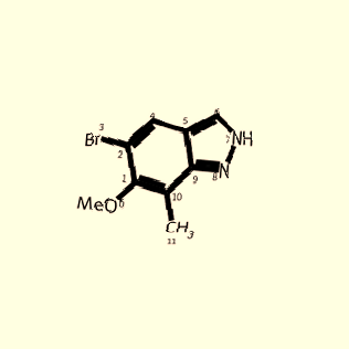 COc1c(Br)cc2c[nH]nc2c1C